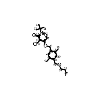 Cc1cc(COc2cnn(C(C)(C)C)c(=O)c2Cl)c(C)cc1COCCF